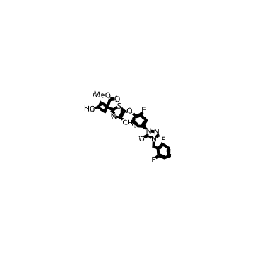 COC(=O)C1(c2nc(C)c(Oc3ccc(-n4ncn(Cc5c(F)cccc5F)c4=O)cc3F)s2)CC(O)C1